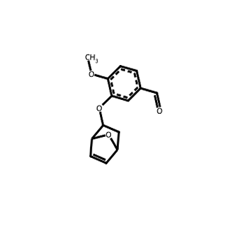 COc1ccc(C=O)cc1OC1CC2C=CC1O2